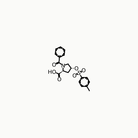 Cc1ccc(S(=O)(=O)O[C@@H]2C[C@@H](C(=O)O)N(C(=O)c3ccccc3)C2)cc1